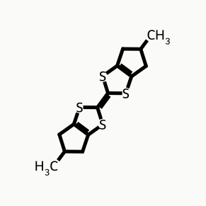 CC1CC2=C(C1)SC(=C1SC3=C(CC(C)C3)S1)S2